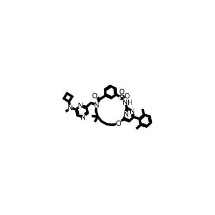 Cc1cccc(C)c1-c1cc2nc(n1)NS(=O)(=O)c1cccc(c1)C(=O)N(Cc1cncc(N(C)C3CCC3)n1)CC(C)(C)CCCO2